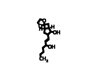 CCCCC(O)C=CC1C[C@H]2[C@@H](CC23OCCO3)C1O